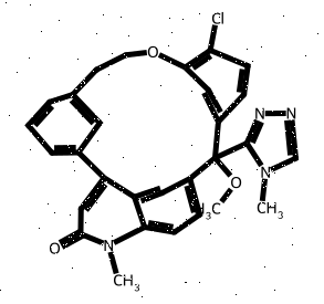 COC1(c2nncn2C)c2ccc(Cl)c(c2)OCCc2cccc(c2)-c2cc(=O)n(C)c3ccc1cc23